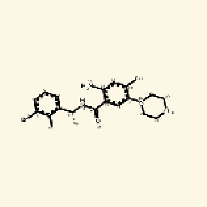 Cc1c(Br)cccc1[C@@H](C)NC(=O)c1cc(N2CCOCC2)c(F)cc1N